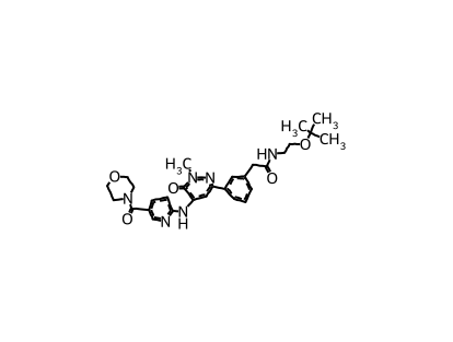 Cn1nc(-c2cccc(CC(=O)NCCOC(C)(C)C)c2)cc(Nc2ccc(C(=O)N3CCOCC3)cn2)c1=O